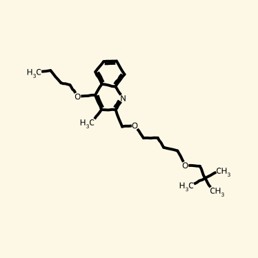 CCCCOc1c(C)c(COCCCCOCC(C)(C)C)nc2ccccc12